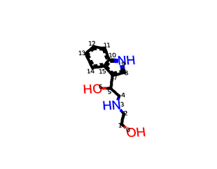 OCCNCC(O)c1c[nH]c2ccccc12